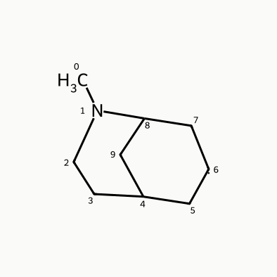 CN1CCC2C[CH]CC1C2